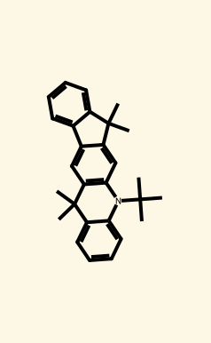 CC1(C)c2ccccc2-c2cc3c(cc21)N(C(C)(C)C)c1ccccc1C3(C)C